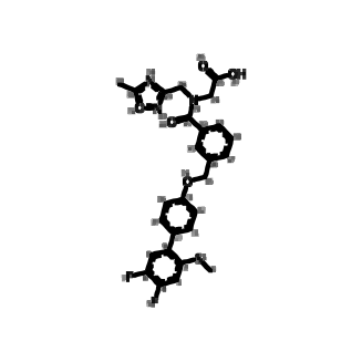 CSc1cc(F)c(F)cc1-c1ccc(OCc2cccc(C(=O)N(CC(=O)O)Cc3noc(C)n3)c2)cc1